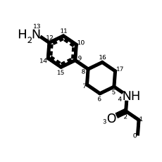 CCC(=O)NC1CCC(c2ccc(N)cc2)CC1